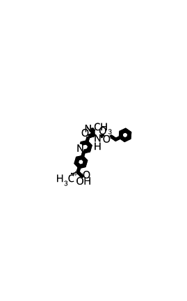 CC[C@@H](C(=O)O)c1ccc(-c2ccc(-c3onc(C)c3NC(=O)OCCc3ccccc3)cn2)cc1